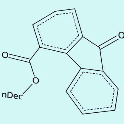 CCCCCCCCCCOC(=O)c1cccc2c1-c1ccccc1C2=O